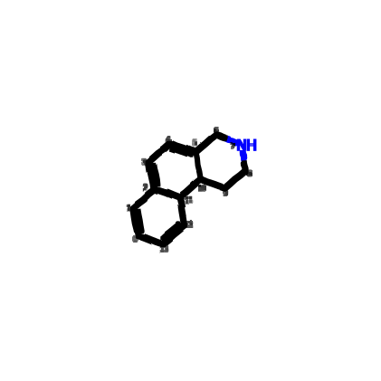 C1=CC2=CC=C3CNCCC3C2C=C1